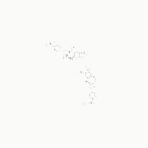 CNc1ccc(C2=CN3C(=O)c4cc(OC)c(OCCCOc5cc6c(cc5OC)C(=O)N5C=C(c7ccc(OC)cc7)CC5C=N6)cc4N=C[C@@H]3C2)cc1